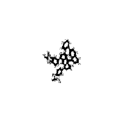 Cc1nc2ccc(-c3cccc4c(-c5cccc6ccc(-c7ccccc7)cc56)c5cccc(-c6ccc7nc(C)n(C)c7c6)c5cc34)cc2n1C